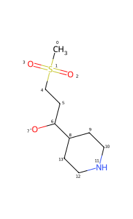 CS(=O)(=O)CCC([O])C1CCNCC1